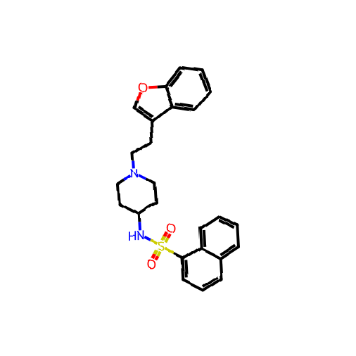 O=S(=O)(NC1CCN(CCc2coc3ccccc23)CC1)c1cccc2ccccc12